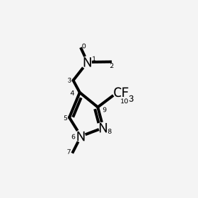 CN(C)Cc1cn(C)nc1C(F)(F)F